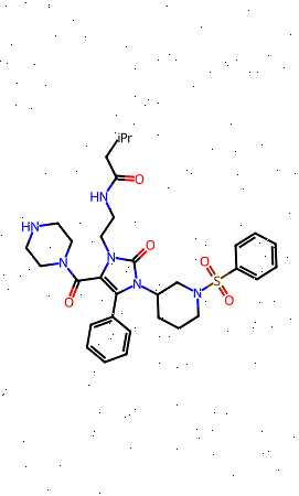 CC(C)CC(=O)NCCn1c(C(=O)N2CCNCC2)c(-c2ccccc2)n(C2CCCN(S(=O)(=O)c3ccccc3)C2)c1=O